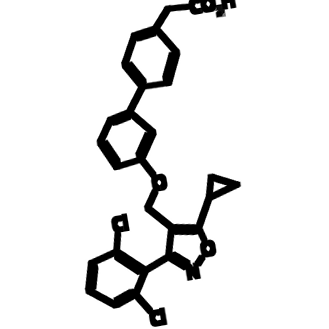 O=C(O)Cc1ccc(-c2cccc(OCc3c(-c4c(Cl)cccc4Cl)noc3C3CC3)c2)cc1